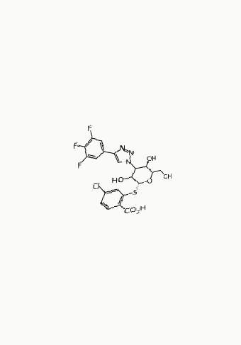 O=C(O)c1ccc(Cl)cc1S[C@H]1OC(CO)[C@H](O)C(n2cc(-c3cc(F)c(F)c(F)c3)nn2)C1O